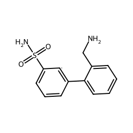 NCc1ccccc1-c1[c]c(S(N)(=O)=O)ccc1